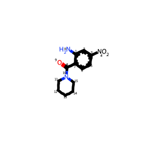 Nc1cc([N+](=O)[O-])ccc1C(=O)N1CCCCC1